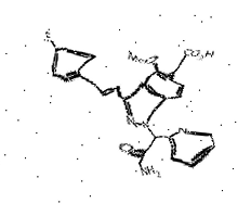 COc1c(C(=O)O)ccc2c1c(C=Cc1ccc(F)cc1)nn2C(C(N)=O)c1ccccn1